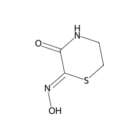 O=C1NCCS/C1=N\O